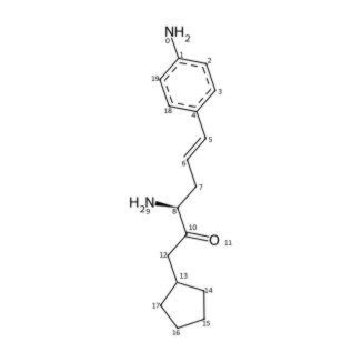 Nc1ccc(/C=C/C[C@H](N)C(=O)CC2CCCC2)cc1